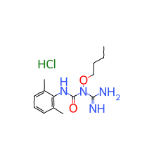 CCCCON(C(=N)N)C(=O)Nc1c(C)cccc1C.Cl